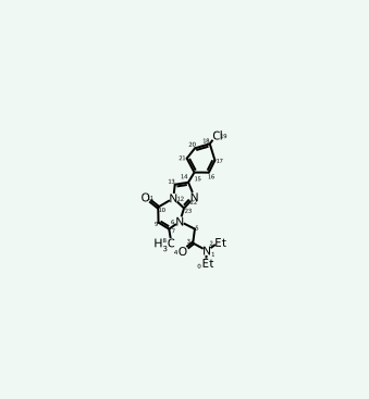 CCN(CC)C(=O)Cn1c(C)cc(=O)n2cc(-c3ccc(Cl)cc3)nc12